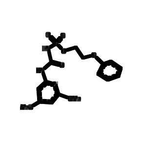 COc1cc(NC(=O)NS(=O)(=O)OCCOc2ccccc2)nc(OC)c1